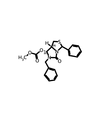 COC(=O)O[C@@H]1[C@@H]2CSC(c3ccccc3)N2C(=O)N1Cc1ccccc1